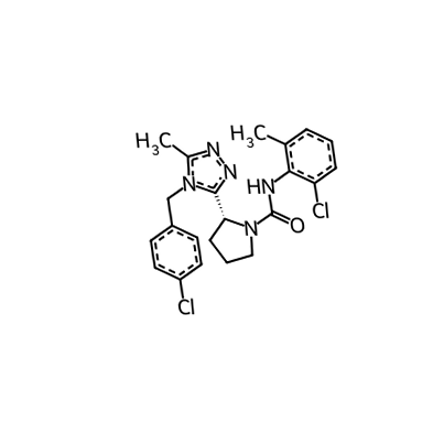 Cc1cccc(Cl)c1NC(=O)N1CCC[C@@H]1c1nnc(C)n1Cc1ccc(Cl)cc1